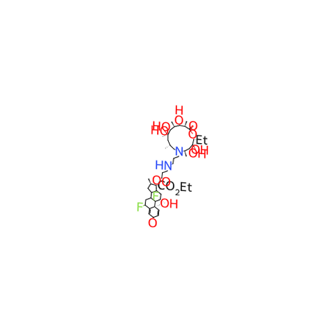 CCOC(=O)[C@@]1(OC(=O)CCNCCCN2C[C@H](C)C[C@@](C)(O)[C@H](O)[C@@H](C)[C@H](O)[C@@H](C)C(=O)O[C@H](CC)[C@@](C)(O)[C@H](O)[C@H]2C)[C@H](C)CC2C3C[C@H](F)C4=CC(=O)C=C[C@]4(C)[C@@]3(F)[C@@H](O)C[C@@]21C